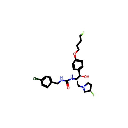 O=C(NCc1ccc(Cl)cc1)N[C@H](CN1CC[C@@H](F)C1)[C@H](O)c1ccc(OCCCCF)cc1